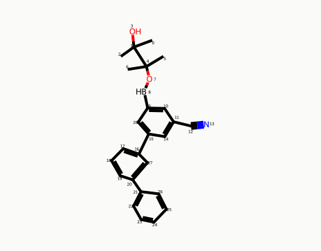 CC(C)(O)C(C)(C)OBc1cc(C#N)cc(-c2cccc(-c3ccccc3)c2)c1